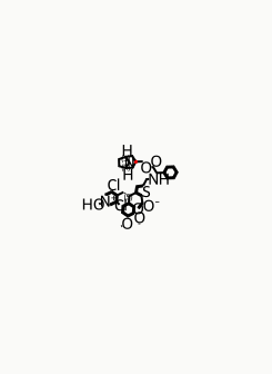 COc1ccc([C@H](Cc2c(Cl)c[n+](O)cc2Cl)c2cc(CNC(C(=O)OCC3C[C@H]4CC[C@@H](C3)N4C)c3ccccc3)sc2C(=O)[O-])cc1OC